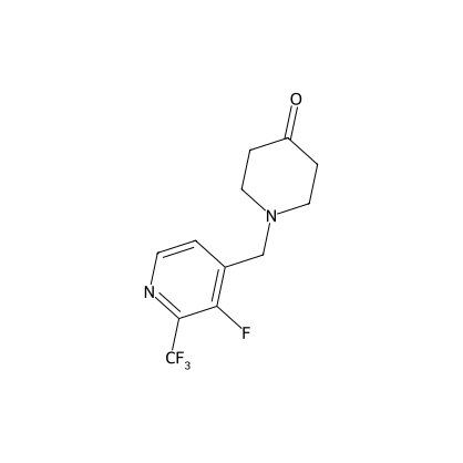 O=C1CCN(Cc2ccnc(C(F)(F)F)c2F)CC1